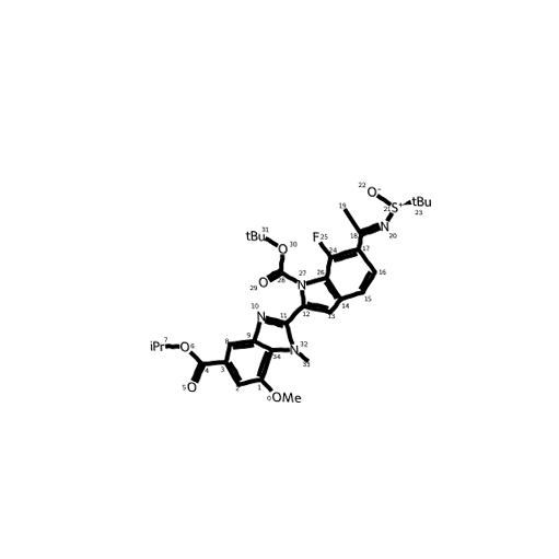 COc1cc(C(=O)OC(C)C)cc2nc(-c3cc4ccc(/C(C)=N/[S@@+]([O-])C(C)(C)C)c(F)c4n3C(=O)OC(C)(C)C)n(C)c12